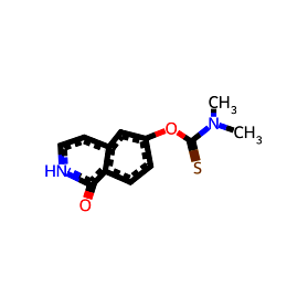 CN(C)C(=S)Oc1ccc2c(=O)[nH]ccc2c1